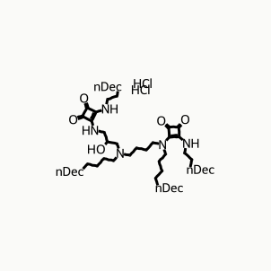 CCCCCCCCCCCCCCN(CCCCN(CCCCCCCCCCCCCC)c1c(NCCCCCCCCCCCC)c(=O)c1=O)CC(O)CNc1c(NCCCCCCCCCCCC)c(=O)c1=O.Cl.Cl